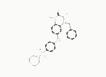 C[C@@H]1C(=O)N(C)c2ccc(Nc3ccc(S(=O)(=O)N4CCOCC4)cc3)cc2N1Cc1ccccc1